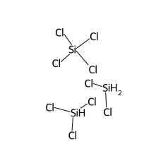 Cl[SiH2]Cl.Cl[SiH](Cl)Cl.Cl[Si](Cl)(Cl)Cl